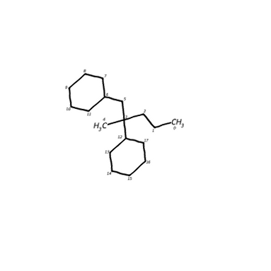 CCCC(C)(CC1CCCCC1)C1CCCCC1